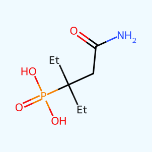 CCC(CC)(CC(N)=O)P(=O)(O)O